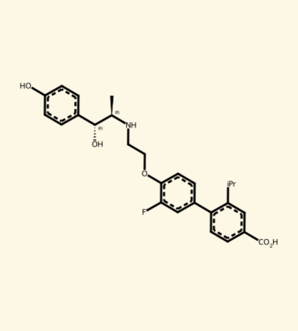 CC(C)c1cc(C(=O)O)ccc1-c1ccc(OCCN[C@H](C)[C@H](O)c2ccc(O)cc2)c(F)c1